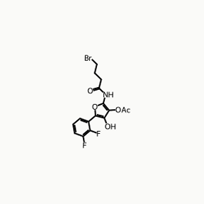 CC(=O)Oc1c(NC(=O)CCCBr)oc(-c2cccc(F)c2F)c1O